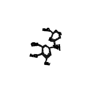 COc1cncc(Nc2cc(C(C)(C)C)c(OC(C)=O)c(C(C)(C)C)c2)n1